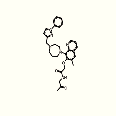 CC(=O)CNC(=O)COc1c(C)cc2cccnc2c1N1CCCN(Cc2ccn(-c3ccccc3)n2)CC1